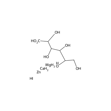 I.O=C(O)C(O)C(O)C(O)C(O)CO.[CaH2].[MgH2].[Zn]